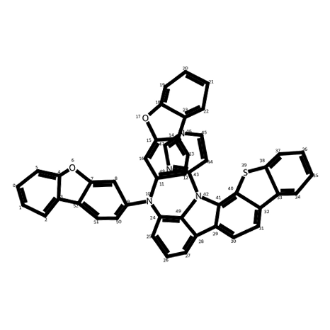 c1ccc2c(c1)oc1cc(N(c3ccc4c(c3)oc3ccccc34)c3cccc4c5ccc6c7ccccc7sc6c5n(-c5ccncn5)c34)ccc12